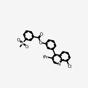 CC(C)c1cnc2c(Cl)cccc2c1-c1cccc(OC(=O)c2cccc(S(C)(=O)=O)c2)c1